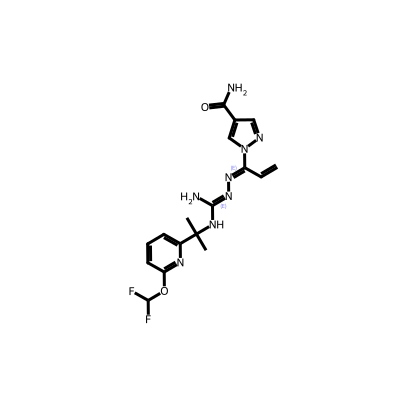 C=C/C(=N\N=C(/N)NC(C)(C)c1cccc(OC(F)F)n1)n1cc(C(N)=O)cn1